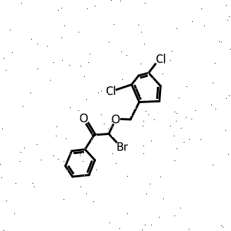 O=C(c1ccccc1)C(Br)OCc1ccc(Cl)cc1Cl